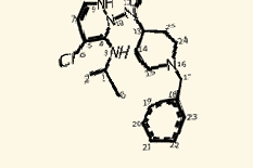 CC(C)NC1=C(Cl)C=CNN1N(C)C1CCN(Cc2ccccc2)CC1